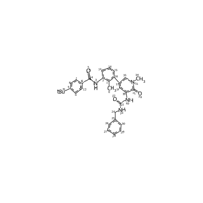 Cc1c(NC(=O)c2ccc(C(C)(C)C)cc2)cccc1-c1cc(NC(=O)NCc2ccccc2)c(=O)n(C)c1